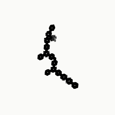 CC1(C)c2cc(-c3ccccc3)cnc2-c2ncc(-c3ccc(-c4nc(-c5ccccc5)nc(-c5ccc(Cc6ccc(-c7nc(-c8ccccc8)cc(-c8ccc(-c9cnc(-c%10ncc(-c%11ccccc%11)cn%10)nc9)cc8)n7)cc6)cc5)n4)cc3)cc21